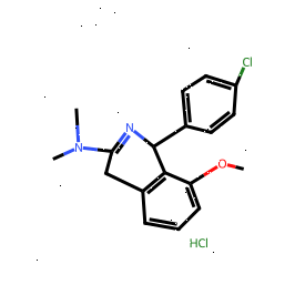 COc1cccc2c1C(c1ccc(Cl)cc1)N=C(N(C)C)C2.Cl